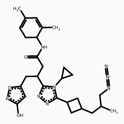 CC1=CCC(NC(=O)CC(Cc2cc(O)no2)c2nnc(C3CC(CC(C)CN=[N+]=[N-])C3)n2C2CC2)C(C)=C1